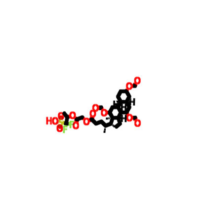 CC(OC(=O)COC(=O)CC[C@@H](C)[C@H]1CC[C@H]2[C@@H]3C(OC=O)C[C@@H]4CC(OC=O)CC[C@]4(C)[C@H]3CC(OC=O)[C@]12C)C(F)(F)S(=O)(=O)O